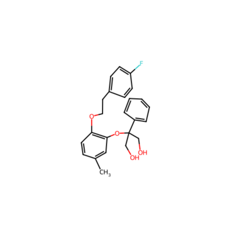 Cc1ccc(OCCc2ccc(F)cc2)c(OC(CO)(CO)c2ccccc2)c1